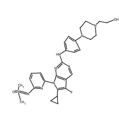 CS(C)(=O)=Nc1cccc(-n2c(C3CC3)c(F)c3cnc(Nc4ccc(N5CCN(CCO)CC5)cc4)nc32)n1